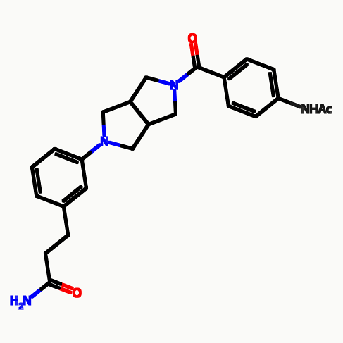 CC(=O)Nc1ccc(C(=O)N2CC3CN(c4cccc(CCC(N)=O)c4)CC3C2)cc1